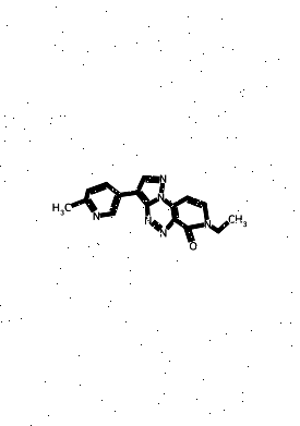 CCn1ccc2c(nnc3c(-c4ccc(C)nc4)cnn32)c1=O